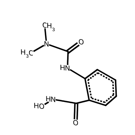 CN(C)C(=O)Nc1ccccc1C(=O)NO